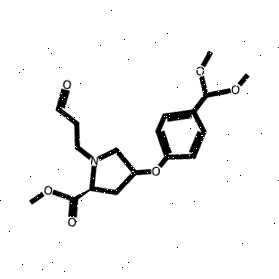 COC(=O)[C@@H]1CC(Oc2ccc(C(OC)OC)cc2)CN1CCC=O